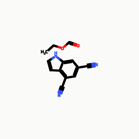 CCOC=O.N#Cc1cc(C#N)c2cc[nH]c2c1